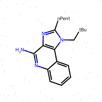 CCCCCc1nc2c(N)nc3ccccc3c2n1CC(C)(C)C